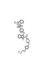 Cn1c(C(=O)N2CCN(Cc3ccc(OCC(F)(F)F)cc3)CC2)c(Oc2ccc(NS(=O)(=O)c3ccccc3[N+](=O)[O-])cn2)c2ccccc21